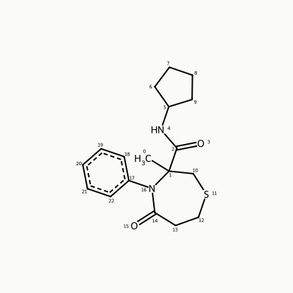 CC1(C(=O)NC2CCCC2)CSCCC(=O)N1c1ccccc1